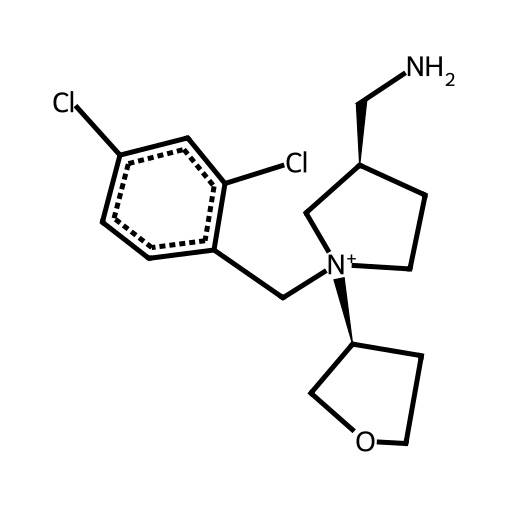 NC[C@H]1CC[N+](Cc2ccc(Cl)cc2Cl)([C@H]2CCOC2)C1